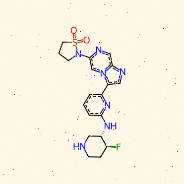 O=S1(=O)CCCN1c1cn2c(-c3cccc(N[C@H]4CNCC[C@@H]4F)n3)cnc2cn1